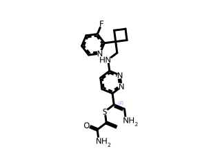 C=C(S/C(=C\N)c1ccc(NCC2(c3ncccc3F)CCC2)nn1)C(N)=O